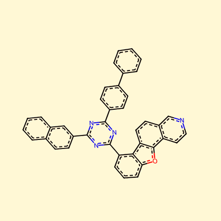 c1ccc(-c2ccc(-c3nc(-c4ccc5ccccc5c4)nc(-c4cccc5oc6c7ccncc7ccc6c45)n3)cc2)cc1